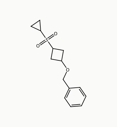 O=S(=O)(C1CC1)C1CC(OCc2ccccc2)C1